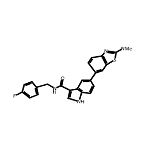 CNc1nc2ccc(-c3ccc4[nH]cc(C(=O)NCc5ccc(F)cc5)c4c3)cc2s1